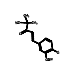 COc1cc(/C=C/C(=O)C(C)(C)C#N)ccc1Cl